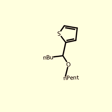 [CH2]CCCCOC(CCCC)c1cccs1